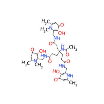 CC(=O)NC(CCC(=O)NCc1[nH]c(C)cc(=O)c1O)(CCC(=O)NCc1c(O)c(=O)cc(C)n1C)CCC(=O)NCc1c(O)c(=O)cc(C)n1C